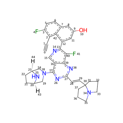 C#Cc1c(F)ccc2cc(O)cc(-c3ncc4c(N5C[C@H]6CC[C@@H](C5)N6)nc(/C=C/C56CCCN5CCC6)nc4c3F)c12